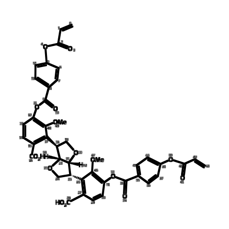 C=CC(=O)Oc1ccc(C(=O)Oc2ccc(C(=O)O)c([C@H]3CO[C@H]4[C@@H]3OC[C@H]4c3c(C(=O)O)ccc(OC(=O)c4ccc(OC(=O)C=C)cc4)c3OC)c2OC)cc1